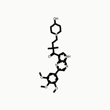 COc1cc(-c2cnc3[nH]cc(C(=O)C(C)(C)CCN4CCC(O)CC4)c3n2)cc(OC)c1OC